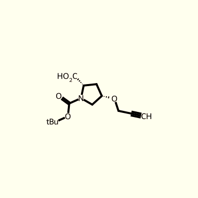 C#CCO[C@H]1C[C@@H](C(=O)O)N(C(=O)OC(C)(C)C)C1